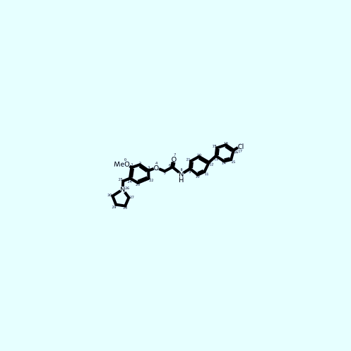 COc1cc(OCC(=O)Nc2ccc(-c3ccc(Cl)cc3)cc2)ccc1CN1CCCC1